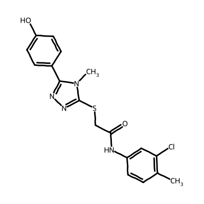 Cc1ccc(NC(=O)CSc2nnc(-c3ccc(O)cc3)n2C)cc1Cl